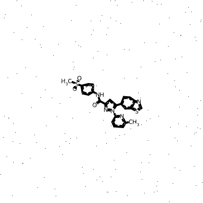 Cc1cccc(-n2nc(C(=O)Nc3ccc(S(C)(=O)=O)cc3)cc2-c2ccc3ncsc3c2)n1